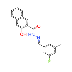 Cc1cc(F)cc(/C=N/NC(=O)c2cc3ccccc3cc2O)c1